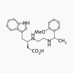 COc1ccccc1C(C)NCCN[C@@H](CC(=O)O)Cc1c[nH]c2ccccc12